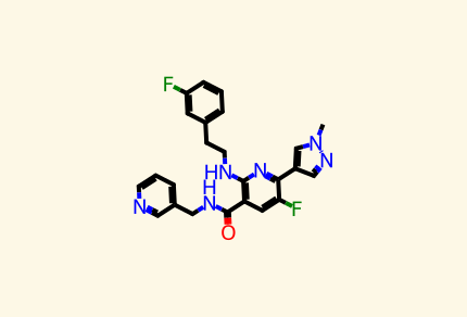 Cn1cc(-c2nc(NCCc3cccc(F)c3)c(C(=O)NCc3cccnc3)cc2F)cn1